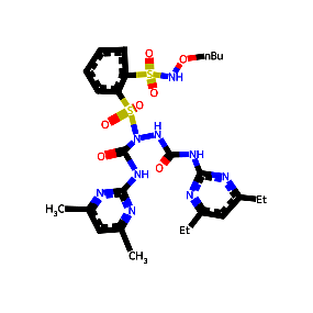 CCCCONS(=O)(=O)c1ccccc1S(=O)(=O)N(NC(=O)Nc1nc(CC)cc(CC)n1)C(=O)Nc1nc(C)cc(C)n1